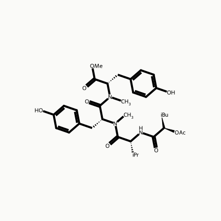 CC[C@H](C)[C@@H](OC(C)=O)C(=O)N[C@@H](C(=O)N(C)[C@H](Cc1ccc(O)cc1)C(=O)N(C)[C@@H](Cc1ccc(O)cc1)C(=O)OC)C(C)C